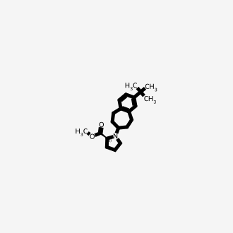 COC(=O)[C@@H]1CCCN1C1CCc2ccc(C(C)(C)C)cc2CC1